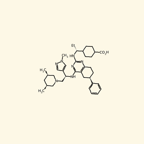 CC[C@@H](Nc1nc2c(c(N[C@@H](CN3C[C@H](C)C[C@H](C)C3)c3cnn(C)c3)n1)C[C@H](c1ccccc1)CC2)C1CCC(C(=O)O)CC1